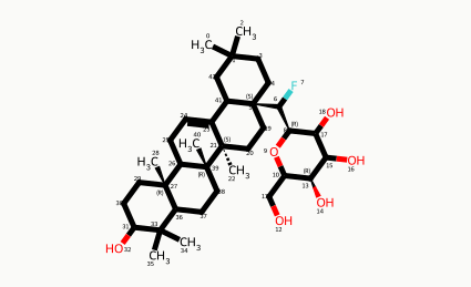 CC1(C)CC[C@]2(C(F)[C@@H]3OC(CO)[C@H](O)C(O)C3O)CC[C@]3(C)C(=CCC4[C@@]5(C)CCC(O)C(C)(C)C5CC[C@]43C)C2C1